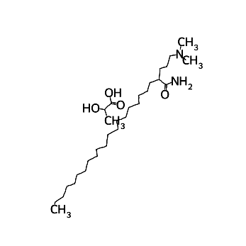 CC(O)C(=O)O.CCCCCCCCCCCCCCCCCCCCC(CCCN(C)C)C(N)=O